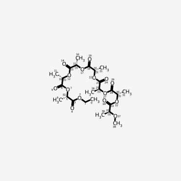 CCOC(=O)[C@H](C)OC(=O)[C@H](C)OC(=O)[C@H](C)OC(=O)[C@H](C)OC(=O)[C@H](C)OC(=O)[C@H](C)OC(=O)[C@H](C)OC